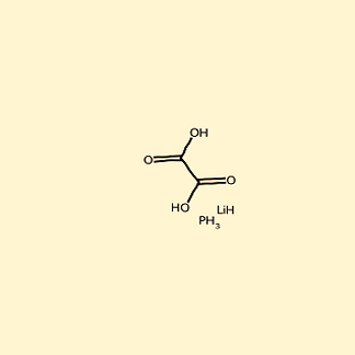 O=C(O)C(=O)O.P.[LiH]